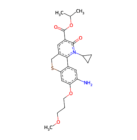 COCCCOc1cc2c(cc1N)-c1c(cc(C(=O)OC(C)C)c(=O)n1C1CC1)CS2